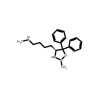 CBCCCC[C@@H]1NB(C)OC1(c1ccccc1)c1ccccc1